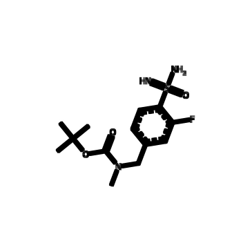 CN(Cc1ccc(S(=N)(N)=O)c(F)c1)C(=O)OC(C)(C)C